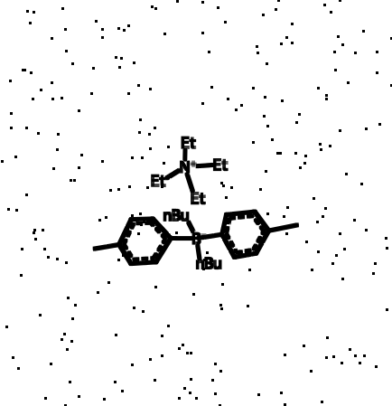 CCCC[B-](CCCC)(c1ccc(C)cc1)c1ccc(C)cc1.CC[N+](CC)(CC)CC